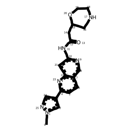 Cn1cc(-c2ccc3cnc(NC(=O)CC4CNCCO4)cc3n2)cn1